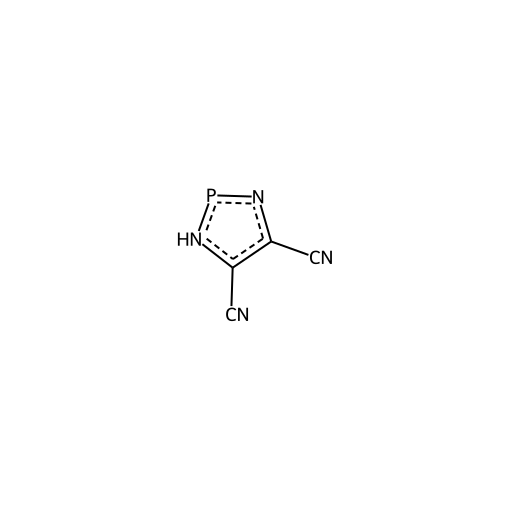 N#Cc1np[nH]c1C#N